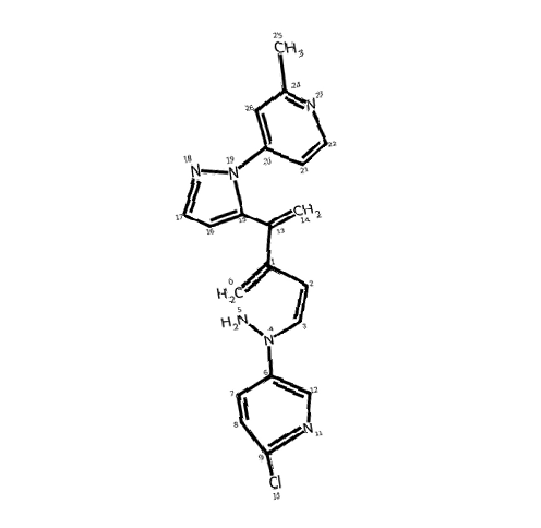 C=C(/C=C\N(N)c1ccc(Cl)nc1)C(=C)c1ccnn1-c1ccnc(C)c1